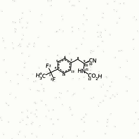 CC(F)(F)c1ccc(C[C@@H](C#N)NC(=O)O)cc1